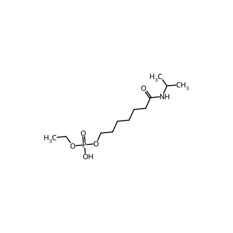 CCOP(=O)(O)OCCCCCCC(=O)NC(C)C